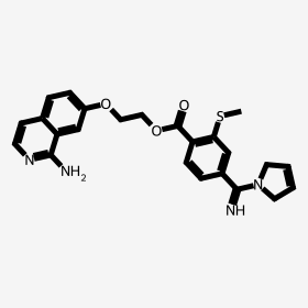 CSc1cc(C(=N)N2CC=CC2)ccc1C(=O)OCCOc1ccc2ccnc(N)c2c1